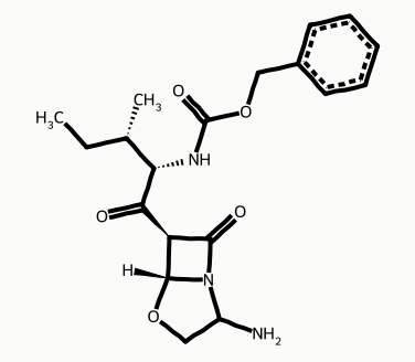 CC[C@H](C)[C@H](NC(=O)OCc1ccccc1)C(=O)[C@H]1C(=O)N2C(N)CO[C@H]12